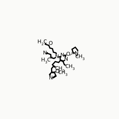 C=CC(=O)CCCCN(C[C@@H](C)CC#N)c1nc(OC[C@@H]2CCCN2C)nc(CC)c1CCCC(=C)Cc1cnccc1OC